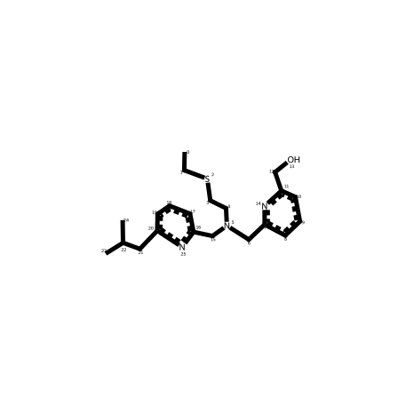 CCSCCN(Cc1cccc(CO)n1)Cc1cccc(CC(C)C)n1